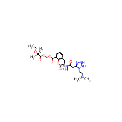 CCOC(C)(C)C(=O)OCOC(=O)c1cccc2c1OB(O)[C@@H](NC(=O)CC1=NNNN1CCN(C)C)C2